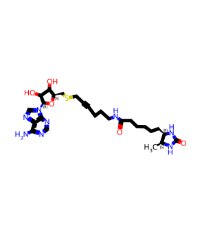 C[C@@H]1NC(=O)N[C@@H]1CCCCCC(=O)NCCCC#CCSC[C@H]1O[C@@H](n2cnc3c(N)ncnc32)C(O)C1O